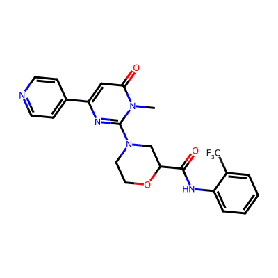 Cn1c(N2CCOC(C(=O)Nc3ccccc3C(F)(F)F)C2)nc(-c2ccncc2)cc1=O